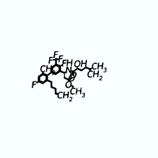 C=CCCCc1cc(F)cc(C)c1-c1cc([C@H](CC(=O)OCC)NC(=O)[C@H](O)CCC(=C)C)c(F)c(C(F)(F)F)c1